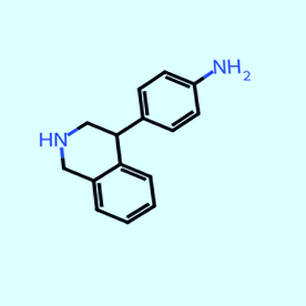 Nc1ccc(C2CNCc3ccccc32)cc1